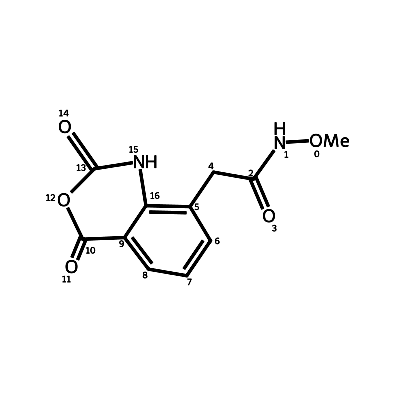 CONC(=O)Cc1cccc2c(=O)oc(=O)[nH]c12